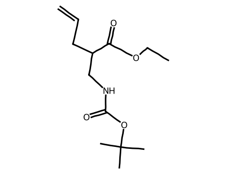 C=CCC(CNC(=O)OC(C)(C)C)C(=O)OCC